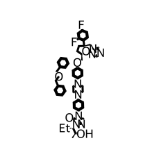 CC[C@@H]([C@H](C)O)n1ncn(-c2ccc(N3CCN(c4ccc(OC[C@H]5CC[C@](Cn6cncn6)(c6ccc(F)cc6F)O5)cc4)CC3)cc2)c1=O.c1ccc(COCc2ccccc2)cc1